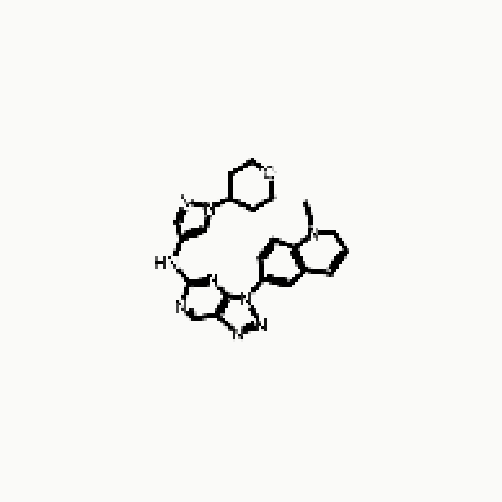 CN1CC=Cc2cc(-n3nnc4cnc(Nc5cnn(C6CCOCC6)c5)nc43)ccc21